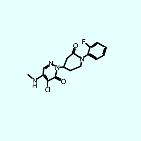 CNc1cnn(C2CCN(c3ccccc3F)C(=O)C2)c(=O)c1Cl